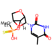 CC[C@@]12COC([C@H](n3cc(C)c(=O)[nH]c3=O)O1)[C@H]2OP(O)(=S)OC